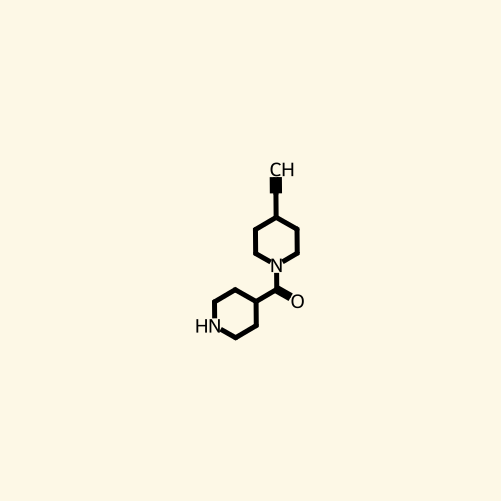 C#CC1CCN(C(=O)C2CCNCC2)CC1